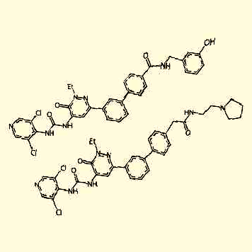 CCn1nc(-c2cccc(-c3ccc(C(=O)NCc4cccc(O)c4)cc3)c2)cc(NC(=O)Nc2c(Cl)cncc2Cl)c1=O.CCn1nc(-c2cccc(-c3ccc(CC(=O)NCCN4CCCC4)cc3)c2)cc(NC(=O)Nc2c(Cl)cncc2Cl)c1=O